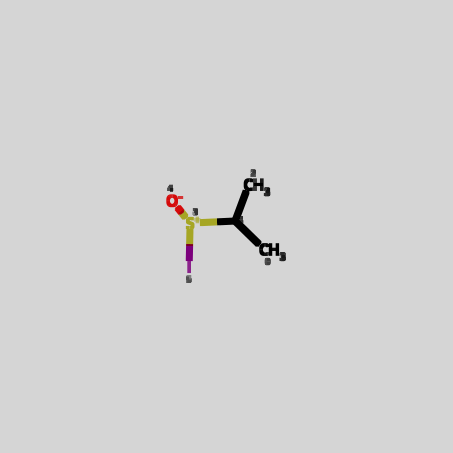 CC(C)[S+]([O-])I